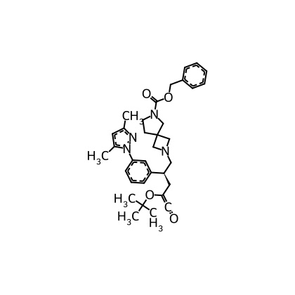 Cc1cc(C)n(-c2cccc([C@H](CC(=C=O)OC(C)(C)C)CN3CC4(CCN(C(=O)OCc5ccccc5)C4)C3)c2)n1